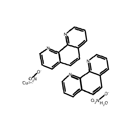 O.O=[N+]([O-])[O-].O=[N+]([O-])[O-].[Cu+2].c1cnc2c(c1)ccc1cccnc12.c1cnc2c(c1)ccc1cccnc12